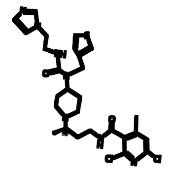 Cc1cc(Cl)nc(Cl)c1C(=O)NCC[C@@H](C)N1CCC(N(Cc2ccsc2)C(=O)NCCn2ccnc2)CC1